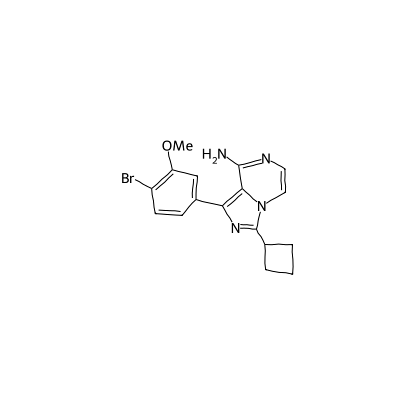 COc1cc(-c2nc(C3CCC3)n3ccnc(N)c23)ccc1Br